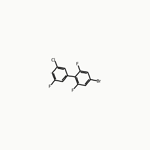 Fc1[c]c(Cl)cc(-c2c(F)cc(Br)cc2F)c1